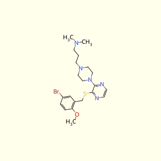 COc1ccc(Br)cc1CSc1nccnc1N1CCN(CCCN(C)C)CC1